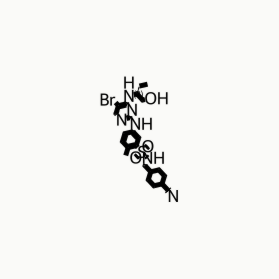 CC[C@H](CO)Nc1nc(Nc2ccc(C)c(S(=O)(=O)NCC3CCC(C#N)CC3)c2)ncc1Br